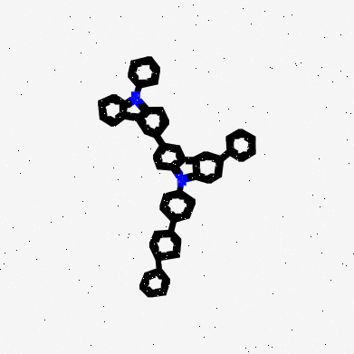 c1ccc(-c2ccc(-c3ccc(-n4c5ccc(-c6ccccc6)cc5c5cc(-c6ccc7c(c6)c6ccccc6n7-c6ccccc6)ccc54)cc3)cc2)cc1